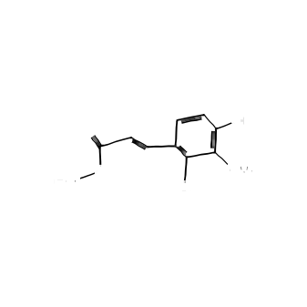 CCCCCCOC(=O)C=Cc1ccc(O)c(OC)c1CC